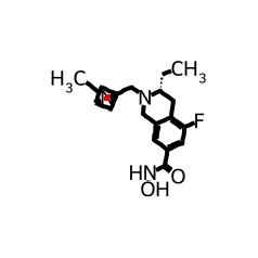 CC[C@@H]1Cc2c(F)cc(C(=O)NO)cc2CN1CC12CC(C1)N(C)C2